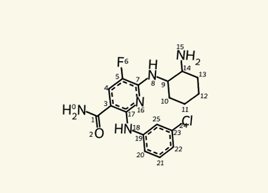 NC(=O)c1cc(F)c(NC2CCCCC2N)nc1Nc1cccc(Cl)c1